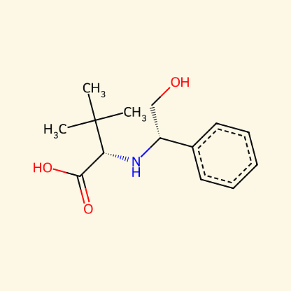 CC(C)(C)[C@H](N[C@H](CO)c1ccccc1)C(=O)O